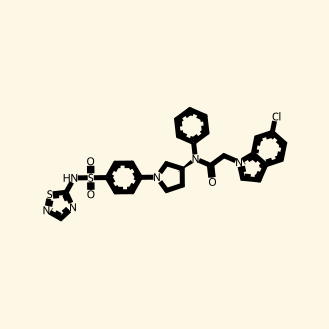 O=C(Cn1ccc2ccc(Cl)cc21)N(c1ccccc1)[C@H]1CCN(c2ccc(S(=O)(=O)Nc3ncns3)cc2)C1